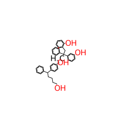 CC(Cc1ccccc1O)(c1ccccc1)c1cccc(O)c1.OCCCCC(c1ccccc1)c1ccc(O)cc1